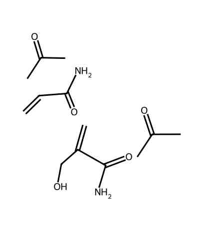 C=C(CO)C(N)=O.C=CC(N)=O.CC(C)=O.CC(C)=O